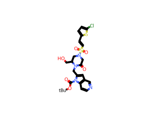 CC(C)(C)OC(=O)n1c(CN2C(=O)CN(S(=O)(=O)/C=C/c3ccc(Cl)s3)CC2CO)cc2cnccc21